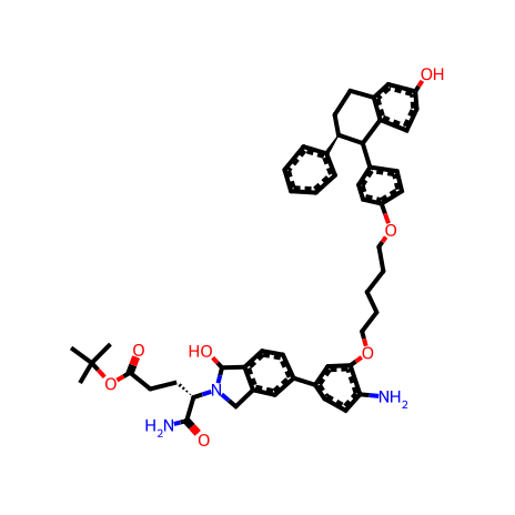 CC(C)(C)OC(=O)CC[C@@H](C(N)=O)N1Cc2cc(-c3ccc(N)c(OCCCCCOc4ccc(C5c6ccc(O)cc6CC[C@@H]5c5ccccc5)cc4)c3)ccc2C1O